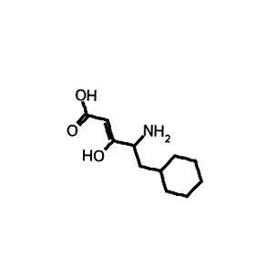 NC(CC1CCCCC1)C(O)=CC(=O)O